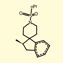 CCCS(=O)(=O)N1CCC2(CC1)c1ccccc1C[C@H]2C